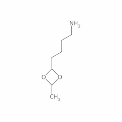 CC1OC(CCCCN)O1